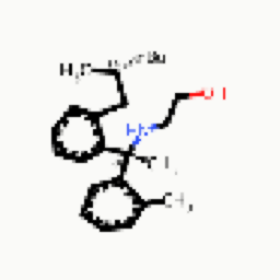 CCCC[C@@H](C)Cc1ccccc1[C@](C)(NCCO)c1ccccc1C